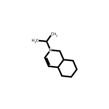 CC(C)N1C=CC2CCCCC2C1